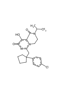 CC(N1CCn2c(CC3(c4ccc(Cl)cc4)CCCC3)nc(=O)c(O)c2C1=O)C(F)(F)F